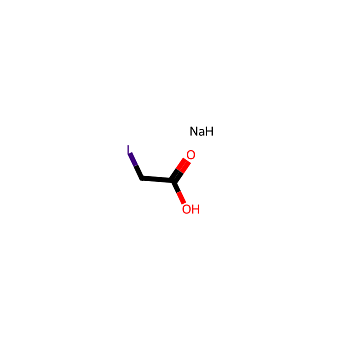 O=C(O)CI.[NaH]